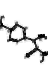 CNC(=O)C(N)c1ccc(OC)cc1